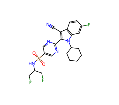 N#Cc1c(-c2ncc(S(=O)(=O)NC(CF)CF)cn2)n(C2CCCCC2)c2cc(F)ccc12